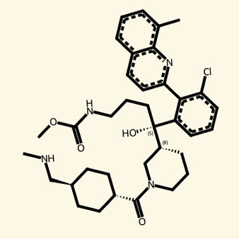 CNC[C@H]1CC[C@H](C(=O)N2CCC[C@@H]([C@@](O)(CCCNC(=O)OC)c3cccc(Cl)c3-c3ccc4cccc(C)c4n3)C2)CC1